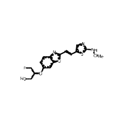 CONc1ncc(/C=C/c2nc3ccc(OC(CO)CF)cc3o2)s1